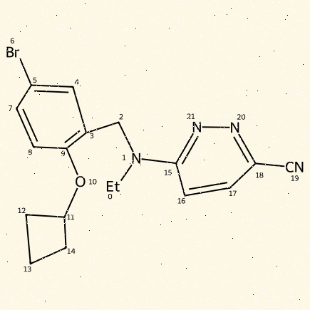 CCN(Cc1cc(Br)ccc1OC1CCC1)c1ccc(C#N)nn1